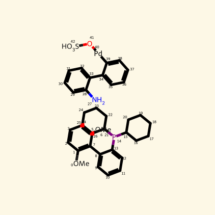 COc1cccc(OC)c1-c1ccccc1P(C1CCCCC1)C1CCCCC1.Nc1ccccc1-c1cccc[c]1[Pd][O]S(=O)(=O)O